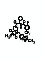 Cc1nc2cc(CN3C(=O)N(C)C(=O)C34CCN(C(=O)C(NC(=O)c3cc(C(F)(F)F)ccc3F)C3CCCC3)CC4)ccn2n1